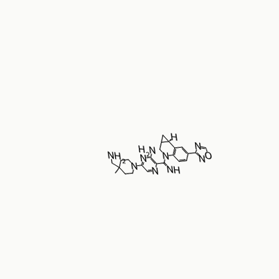 CC1(CN)CCN(c2cnc(C(=N)N3CC4C[C@@H]4c4cc(-c5ncon5)ccc43)c(N)n2)CC1